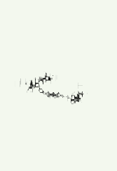 CCN(c1cc(-c2ccc(CN3CCN(CC(=O)N4CCN(CCCCNc5cccc6c5C(=O)N(C5CCC(=O)NC5=O)C6=O)CC4)CC3)cc2)cc(C(=O)NCc2c(C)cc(C)[nH]c2=O)c1C)C1CCOCC1